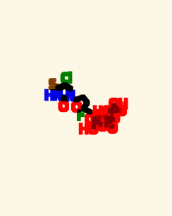 O=c1[nH]c(=S)c(Cl)cn1[C@H]1CC[C@@](F)(COP(=O)(O)OP(=O)(O)OP(=O)(O)O)O1